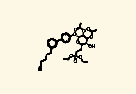 C#CCCCCc1cccc(-c2ccc(O[C@H]3O[C@H](CCP(=O)(OCC)OCC)[C@@H](O)[C@H](OC(C)=O)[C@@H]3OC(C)=O)cc2)c1